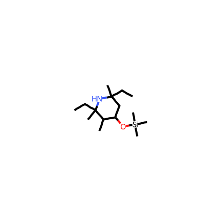 CCC1(C)CC(O[Si](C)(C)C)C(C)C(C)(CC)N1